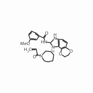 C=CC(=O)N1CCCC[C@@H](N2c3c(ccc4c3OCCO4)NC2NC(=O)c2cccc(OC)c2)C1